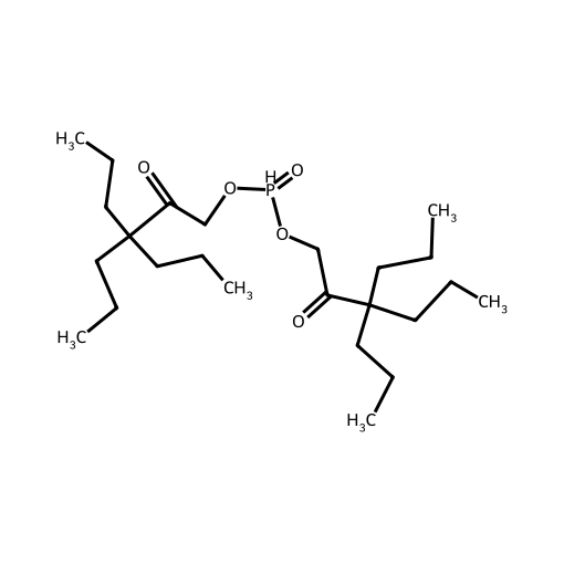 CCCC(CCC)(CCC)C(=O)CO[PH](=O)OCC(=O)C(CCC)(CCC)CCC